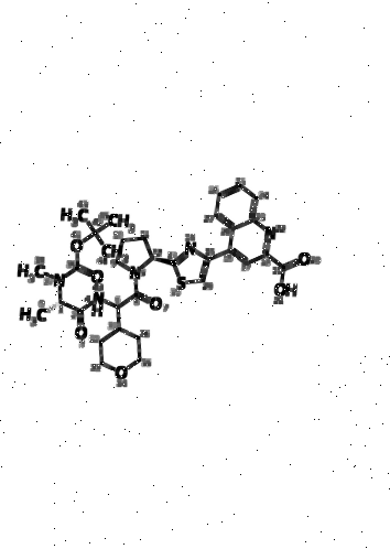 C[C@@H](C(=O)NC(C(=O)N1CCC[C@H]1c1nc(-c2cc(C(=O)O)nc3ccccc23)cs1)C1CCOCC1)N(C)C(=O)OC(C)(C)C